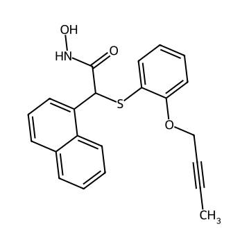 CC#CCOc1ccccc1SC(C(=O)NO)c1cccc2ccccc12